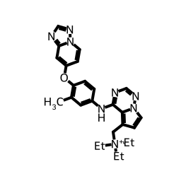 CC[N+](CC)(CC)Cc1ccn2ncnc(Nc3ccc(Oc4ccn5ncnc5c4)c(C)c3)c12